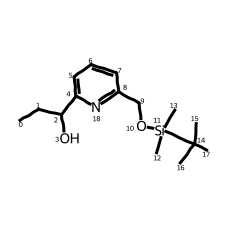 CCC(O)c1cccc(CO[Si](C)(C)C(C)(C)C)n1